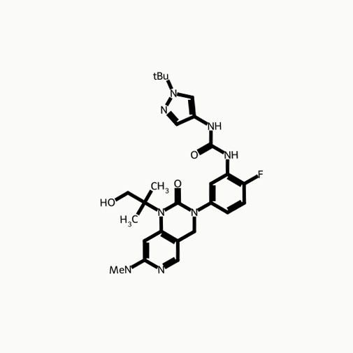 CNc1cc2c(cn1)CN(c1ccc(F)c(NC(=O)Nc3cnn(C(C)(C)C)c3)c1)C(=O)N2C(C)(C)CO